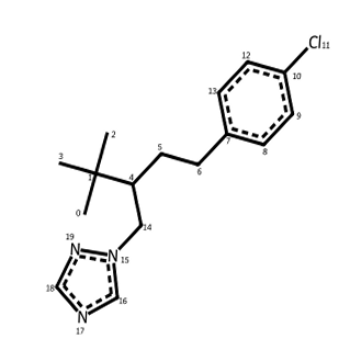 CC(C)(C)C(CCc1ccc(Cl)cc1)Cn1cncn1